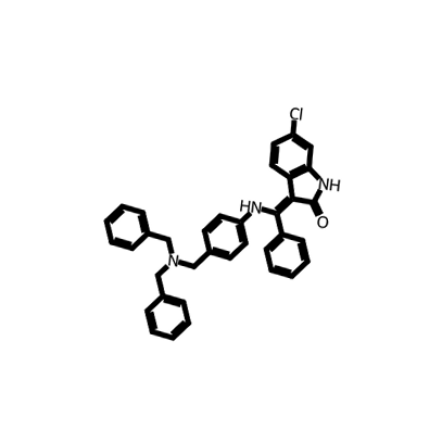 O=C1Nc2cc(Cl)ccc2C1=C(Nc1ccc(CN(Cc2ccccc2)Cc2ccccc2)cc1)c1ccccc1